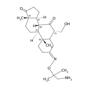 CC(C)(CN)ON=C1CC[C@@]2(C)C(C1)[C@@H](CO)C(=O)[C@@H]1[C@@H]2CC[C@]2(C)C(=O)CC[C@@H]12